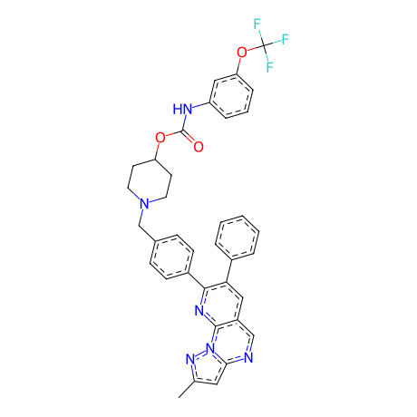 Cc1cc2ncc3cc(-c4ccccc4)c(-c4ccc(CN5CCC(OC(=O)Nc6cccc(OC(F)(F)F)c6)CC5)cc4)nc3n2n1